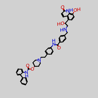 O=C(Nc1ccccc1-c1ccccc1)OC1CCN(CCc2ccc(NC(=O)c3ccc(CNC[C@@H](O)c4ccc(O)c5[nH]c(=O)ccc45)cc3)cc2)CC1